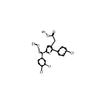 CCON=C(c1ccc(Cl)c(Cl)c1)c1cc(CC(=O)OC(C)C)c(-c2ccc(Cl)cc2)s1